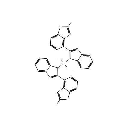 Cc1cc2c(C3=Cc4ccccc4C3[Si](C)(C)C3C(c4cccc5[nH]c(C)cc45)=Cc4ccccc43)cccc2[nH]1